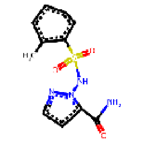 Cc1ccccc1S(=O)(=O)Nn1nccc1C(N)=O